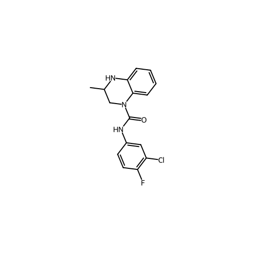 CC1CN(C(=O)Nc2ccc(F)c(Cl)c2)c2ccccc2N1